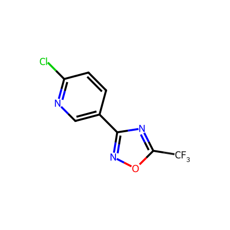 FC(F)(F)c1nc(-c2ccc(Cl)nc2)no1